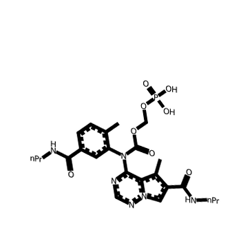 CCCNC(=O)c1ccc(C)c(N(C(=O)OCOP(=O)(O)O)c2ncnn3cc(C(=O)NCCC)c(C)c23)c1